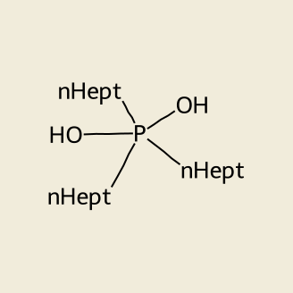 CCCCCCCP(O)(O)(CCCCCCC)CCCCCCC